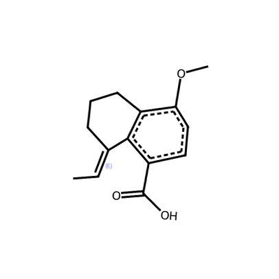 C/C=C1\CCCc2c(OC)ccc(C(=O)O)c21